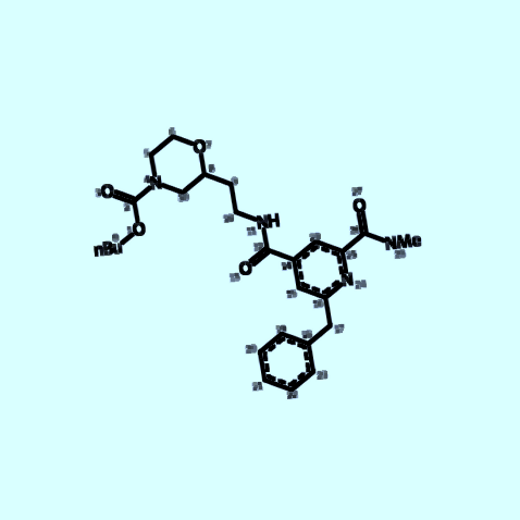 CCCCOC(=O)N1CCOC(CCNC(=O)c2cc(Cc3ccccc3)nc(C(=O)NC)c2)C1